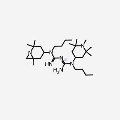 CCCCN(C(=N)/N=C(\N)N(CCCC)C1CC(C)(C)N(C)C(C)(C)C1)C1CC(C)(C)N2CC2(C)C1